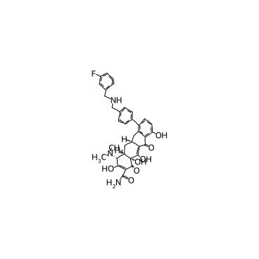 CN(C)[C@H]1C(O)=C(C(N)=O)C(=O)[C@@]2(O)C(O)=C3C(=O)c4c(O)ccc(-c5ccc(CNCc6cccc(F)c6)cc5)c4C[C@H]3C[C@@H]12